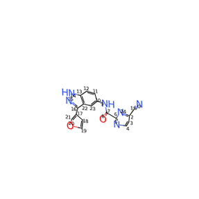 N#Cc1ccnc(C(=O)Nc2ccc3[nH]nc(-c4ccoc4)c3c2)n1